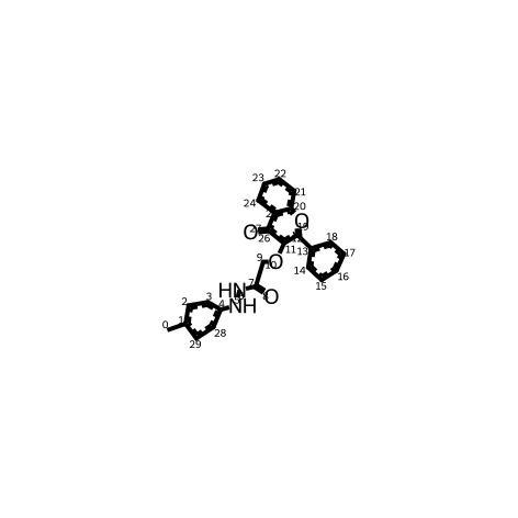 Cc1ccc(NNC(=O)COc2c(-c3ccccc3)oc3ccccc3c2=O)cc1